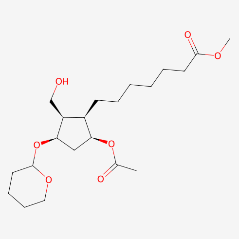 COC(=O)CCCCCC[C@@H]1[C@H](CO)[C@H](OC2CCCCO2)C[C@@H]1OC(C)=O